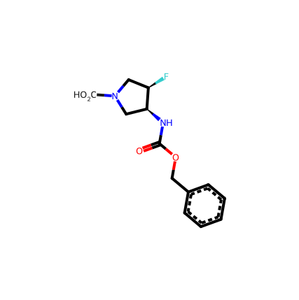 O=C(N[C@H]1CN(C(=O)O)C[C@H]1F)OCc1ccccc1